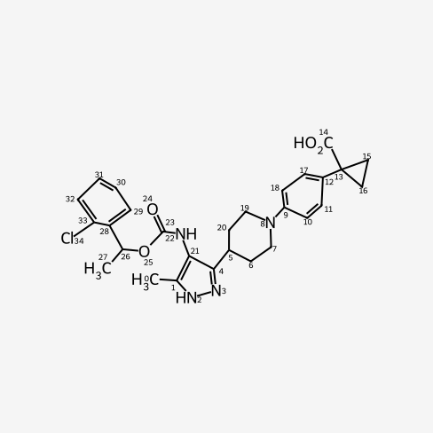 Cc1[nH]nc(C2CCN(c3ccc(C4(C(=O)O)CC4)cc3)CC2)c1NC(=O)OC(C)c1ccccc1Cl